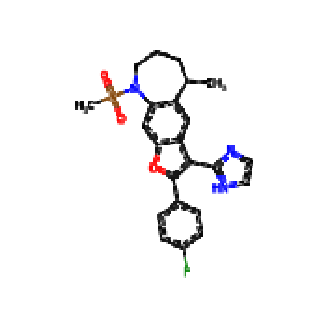 CC1CCCN(S(C)(=O)=O)c2cc3oc(-c4ccc(F)cc4)c(-c4ncc[nH]4)c3cc21